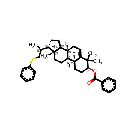 C[C@H](CSc1ccccc1)[C@@H]1CC[C@H]2[C@@H]3CC=C4C(C)(C)[C@@H](OC(=O)c5ccccc5)CC[C@@]4(C)[C@H]3CC[C@@]21C